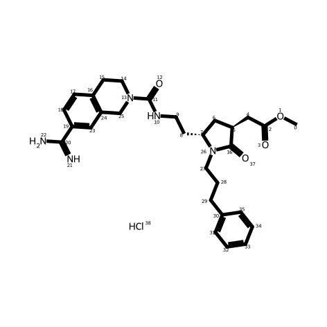 COC(=O)C[C@@H]1C[C@@H](CCNC(=O)N2CCc3ccc(C(=N)N)cc3C2)N(CCCc2ccccc2)C1=O.Cl